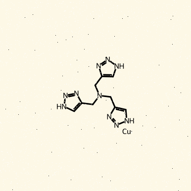 [Cu].c1[nH]nnc1CN(Cc1c[nH]nn1)Cc1c[nH]nn1